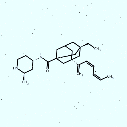 C=C(/C=C\C=C/C)[C@]12CC3CC(C(=O)N[C@H]4CCN[C@H](C)C4)(C[C@](CC)(C3)C1)C2